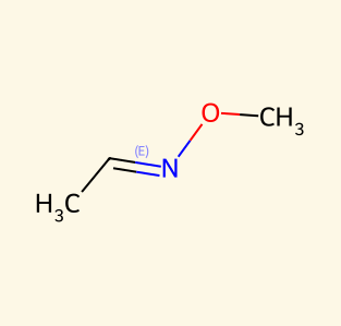 C/C=N/OC